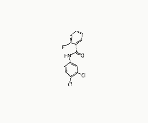 O=C(Nc1ccc(Cl)c(Cl)c1)c1ccccc1F